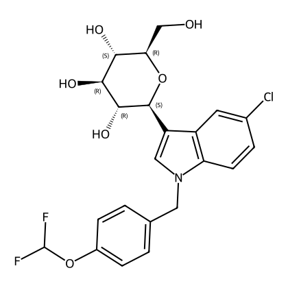 OC[C@H]1O[C@@H](c2cn(Cc3ccc(OC(F)F)cc3)c3ccc(Cl)cc23)[C@H](O)[C@@H](O)[C@@H]1O